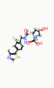 Cc1ncsc1-c1ccc(CNC(=O)[C@@H]2C[C@@H](O)CN2C(=O)O)c(F)c1